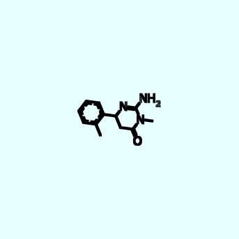 Cc1ccccc1C1CC(=O)N(C)C(N)=N1